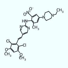 CCN1CCN(c2cc(C)c(Nc3ncc(/C=C/c4c(Cl)c(OC)cc(OC)c4Cl)cn3)c([N+](=O)[O-])c2)CC1